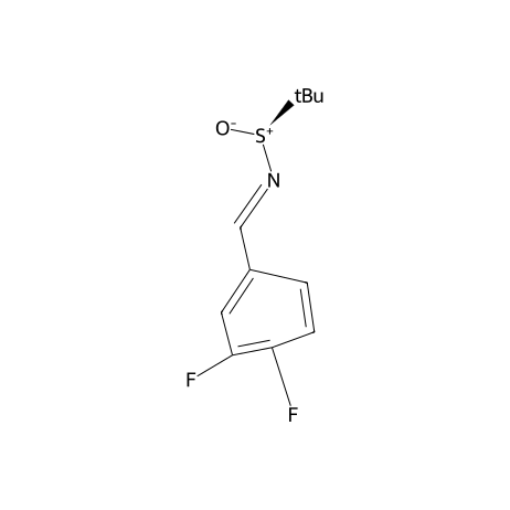 CC(C)(C)[S@+]([O-])/N=C/c1ccc(F)c(F)c1